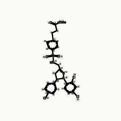 COC(=O)CCc1ccc(S(=O)(=O)NCC2=NN(c3ccc(Cl)cc3Cl)C(c3ccc(Cl)cc3)C2)cc1